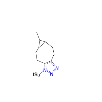 CC1C2CCc3nnn(C(C)(C)C)c3CCC12